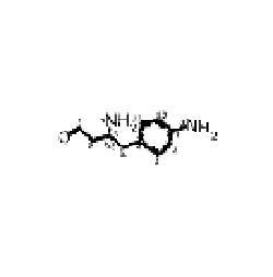 Nc1ccc(C[C@H](N)CC=O)cc1